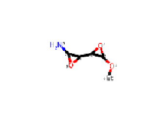 CCOC1OC1C1OC1N